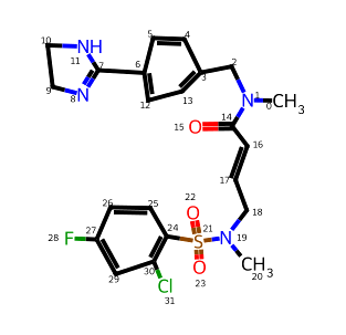 CN(Cc1ccc(C2=NCCN2)cc1)C(=O)/C=C/CN(C)S(=O)(=O)c1ccc(F)cc1Cl